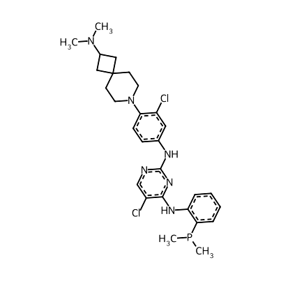 CN(C)C1CC2(CCN(c3ccc(Nc4ncc(Cl)c(Nc5ccccc5P(C)C)n4)cc3Cl)CC2)C1